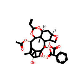 C=CC1OC2[C@@H](OC(C)=O)C3=C(C)[C@@H](O)C[C@@](O)([C@@H](OC(=O)c4ccccc4)[C@@H]4[C@]5(OC(C)=O)CO[C@@H]5C[C@H](O1)[C@@]24C)C3(C)C